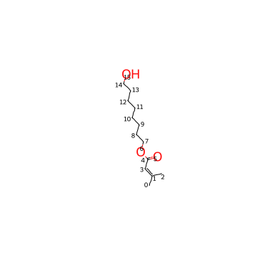 CC(C)=CC(=O)OCCCCCCCCO